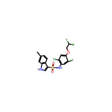 Cc1ccc2c(S(=O)(=O)Nc3cc(F)c(OCC(F)F)cc3F)c[nH]c2c1